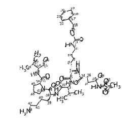 CC(C)[C@H](NC(=O)[C@H](CCCCNC(=O)OCc1ccccc1)NC(=O)CCC(=O)NS(C)(=O)=O)C(=O)N[C@@H](CCCCN)C(=O)N1CCC[C@H]1C(=O)N[C@H](C=O)C(C)C